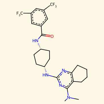 CN(C)c1nc(N[C@H]2CC[C@@H](NC(=O)c3cc(C(F)(F)F)cc(C(F)(F)F)c3)CC2)nc2c1CCCC2